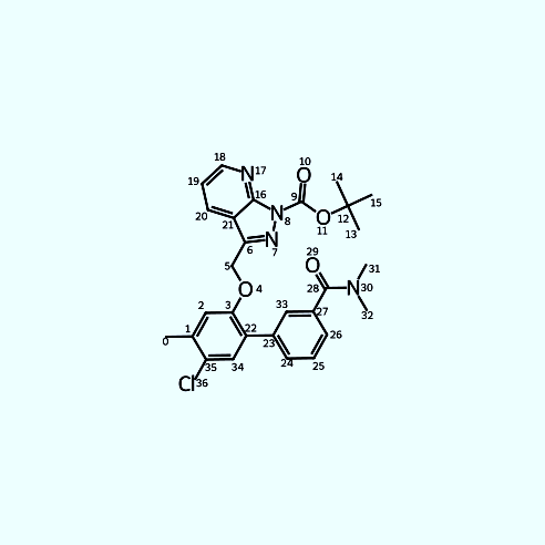 Cc1cc(OCc2nn(C(=O)OC(C)(C)C)c3ncccc23)c(-c2cccc(C(=O)N(C)C)c2)cc1Cl